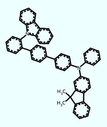 CC1(C)c2ccccc2-c2ccc(N(c3ccccc3)c3ccc(-c4ccc(-c5ccccc5-n5c6ccccc6c6ccccc65)cc4)cc3)cc21